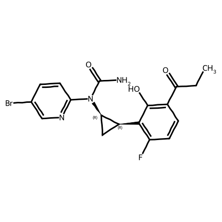 CCC(=O)c1ccc(F)c([C@H]2C[C@H]2N(C(N)=O)c2ccc(Br)cn2)c1O